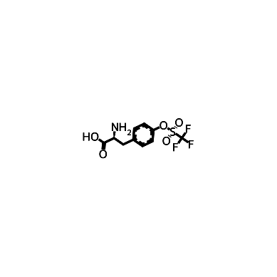 N[C@@H](Cc1ccc(OS(=O)(=O)C(F)(F)F)cc1)C(=O)O